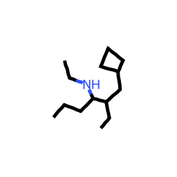 CCCC(NCC)C(CC)CC1CCC1